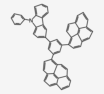 c1ccc(-n2c3ccccc3c3cc(-c4cc(-c5ccc6ccc7cccc8ccc5c6c78)cc(-c5ccc6ccc7cccc8ccc5c6c78)c4)ccc32)cc1